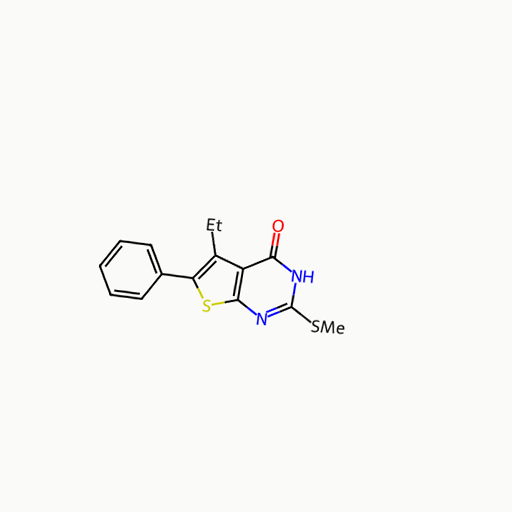 CCc1c(-c2ccccc2)sc2nc(SC)[nH]c(=O)c12